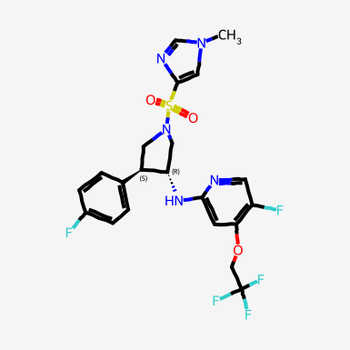 Cn1cnc(S(=O)(=O)N2C[C@H](Nc3cc(OCC(F)(F)F)c(F)cn3)[C@@H](c3ccc(F)cc3)C2)c1